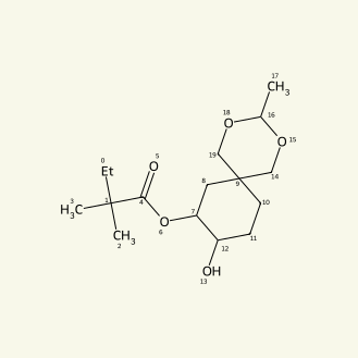 CCC(C)(C)C(=O)OC1CC2(CCC1O)COC(C)OC2